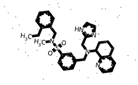 CCc1ccccc1CN(C)S(=O)(=O)c1cccc(CN(Cc2ncc[nH]2)C2CCCc3cccnc32)c1